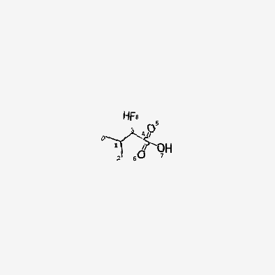 CC(C)CS(=O)(=O)O.F